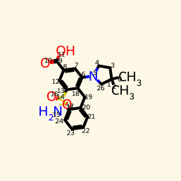 CC1(C)CCN(c2cc(C(=O)O)cc(S(N)(=O)=O)c2Cc2ccccc2)C1